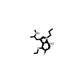 CCCn1cc(CC(C)NC)c2c(OCC)c(F)ccc21.Cl